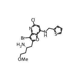 COCC[C@H](N)Cc1oc2c(NCc3cccs3)cc(Cl)nc2c1Br